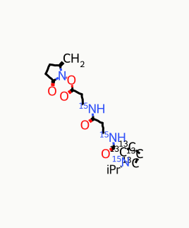 C=C1CCC(=O)N1OC(=O)CC[15NH]C(=O)CC[15NH]C(=O)[13CH]1[13CH2][13CH2][13CH2][15N]1[13CH]([13CH3])[13CH3]